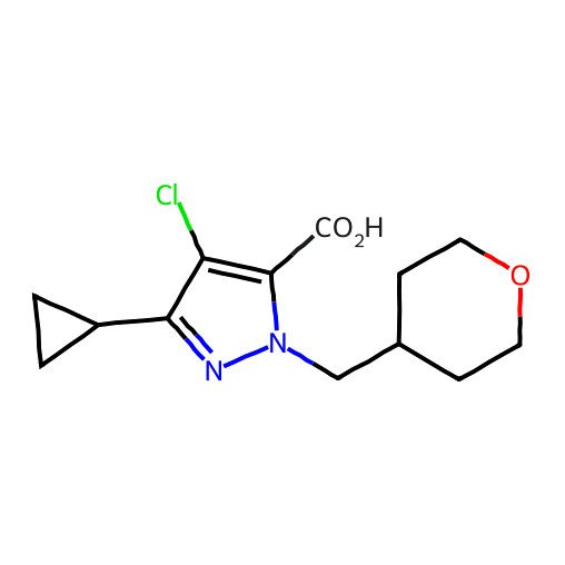 O=C(O)c1c(Cl)c(C2CC2)nn1CC1CCOCC1